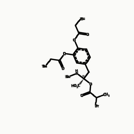 CCC(C)CC(=O)Oc1ccc(C[C@](NC(C)CC)(OC(=O)C(C)C(C)C)C(=O)O)cc1OC(=O)CC(C)CC